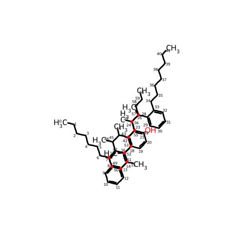 CCCCCCCCc1ccccc1C(C)C(C)c1ccc(O)c(C(C)C(C)c2ccccc2CCCCCCCC)c1C(C)C(C)c1ccccc1CCCCCCCC